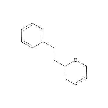 C1=CCC(CCc2ccccc2)OC1